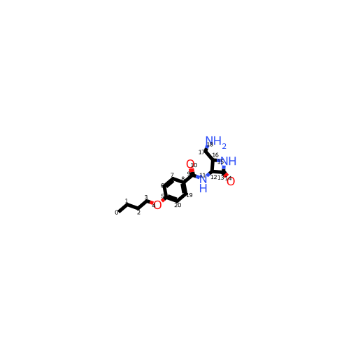 CCCCOc1ccc(C(=O)NC2C(=O)NC2CN)cc1